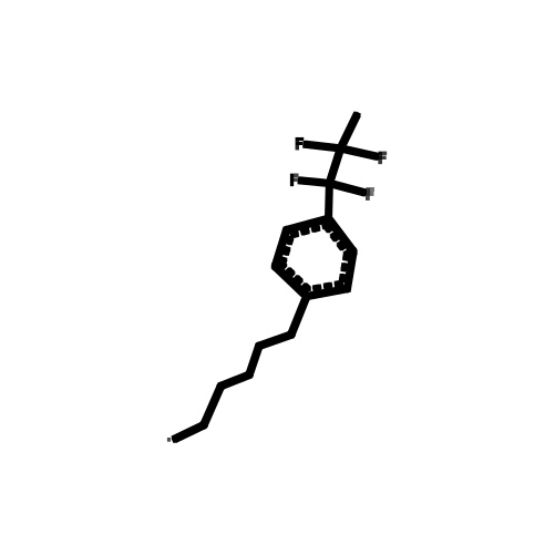 [CH2]CCCCCc1ccc(C(F)(F)C(C)(F)F)cc1